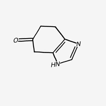 O=C1CCc2nc[nH]c2C1